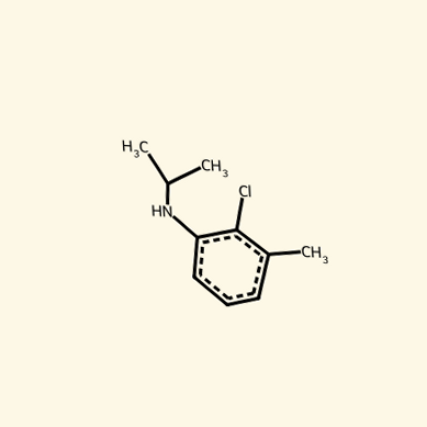 Cc1cccc(NC(C)C)c1Cl